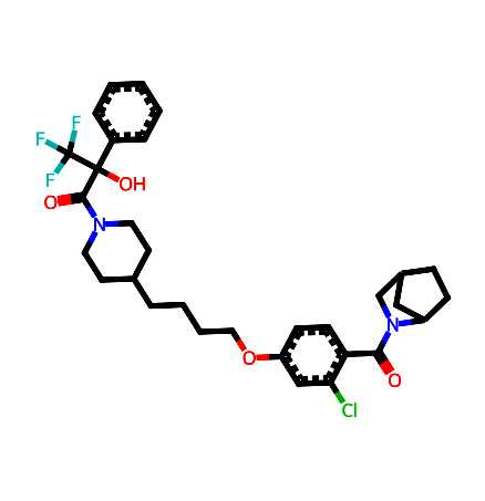 O=C(c1ccc(OCCCCC2CCN(C(=O)C(O)(c3ccccc3)C(F)(F)F)CC2)cc1Cl)N1CC2CCC1C2